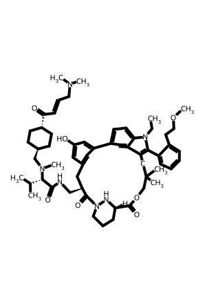 CCn1c(-c2ccccc2CCOC)c2c3cc(ccc31)-c1cc(O)cc(c1)C[C@H](CNC(=O)[C@H](C(C)C)N(C)C[C@H]1CC[C@H](C(=O)/C=C/CN(C)C)CC1)C(=O)N1CCC[C@H](N1)C(=O)OCC(C)(C)C2